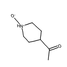 CC(=O)C1CC[NH+]([O-])CC1